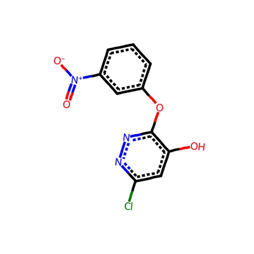 O=[N+]([O-])c1cccc(Oc2nnc(Cl)cc2O)c1